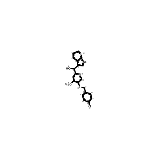 COc1cc(C(O)c2c[nH]c3ncccc23)ncc1OCc1ccc(Cl)cc1